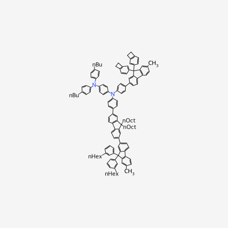 CCCCCCCCC1(CCCCCCCC)c2cc(-c3ccc(N(c4ccc(-c5ccc6c(c5)C(c5ccc7c(c5)CC7)(c5ccc7c(c5)CC7)c5cc(C)ccc5-6)cc4)c4ccc(N(c5ccc(CCCC)cc5)c5ccc(CCCC)cc5)cc4)cc3)ccc2-c2ccc(-c3ccc4c(c3)C(c3cccc(CCCCCC)c3)(c3cccc(CCCCCC)c3)c3cc(C)ccc3-4)cc21